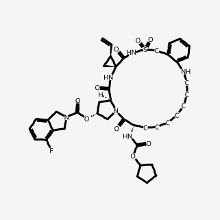 C=C[C@@H]1C[C@@]12NC(=O)[C@@H]1C[C@@H](OC(=O)N3Cc4cccc(F)c4C3)CN1C(=O)[C@@H](NC(=O)OC1CCCC1)CCCCCCCNc1ccccc1CS(=O)(=O)NC2=O